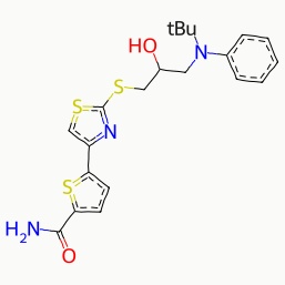 CC(C)(C)N(CC(O)CSc1nc(-c2ccc(C(N)=O)s2)cs1)c1ccccc1